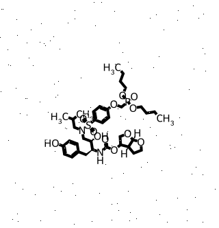 CCCCOP(=O)(COc1ccc(S(=O)(=O)N(CC(C)C)C[C@@H](O)[C@H](Cc2ccc(O)cc2)NC(=O)OC2CO[C@H]3OCC[C@@H]23)cc1)OCCCC